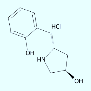 Cl.Oc1ccccc1C[C@@H]1C[C@@H](O)CN1